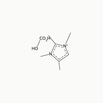 Cc1c[n+](C)c(C)n1C.O=C(O)O